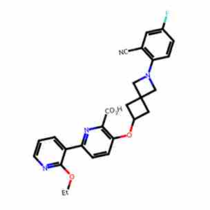 CCOc1ncccc1-c1ccc(OC2CC3(C2)CN(c2ccc(F)cc2C#N)C3)c(C(=O)O)n1